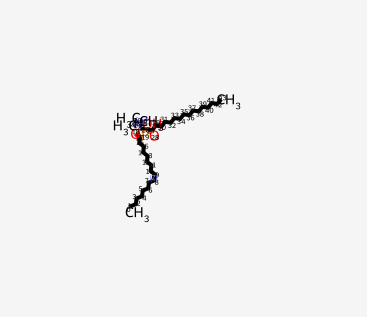 CCCCCCCC/C=C\CCCCCCCC(=O)[P-]C(O)(C[N+](C)(C)C)C(=O)CCCCCCCCCCCCCCC